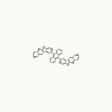 c1ccc2c(-c3cc4c(cn3)oc3nc5ccncc5cc34)c3ccccc3c(-c3cc4c(cn3)oc3nc5ccncc5cc34)c2c1